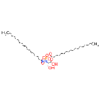 CCCCCCCCC=CCCCCCCCC(=O)OP(=O)(N[C@@H](CO)C(=O)O)OC(=O)CCCCCCCC=CCCCCCCCC